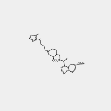 COc1ccc2nccc([C@H](F)CC[C@@H]3CCN(CCCSc4nccn4C)C[C@@H]3C(=O)O)c2c1